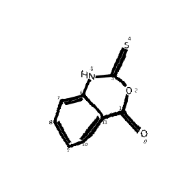 O=c1oc(=S)[nH]c2ccccc12